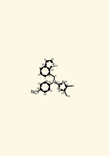 Cc1nc(N(Cc2cccc3ccsc23)c2ccc(C#N)cc2)sc1C